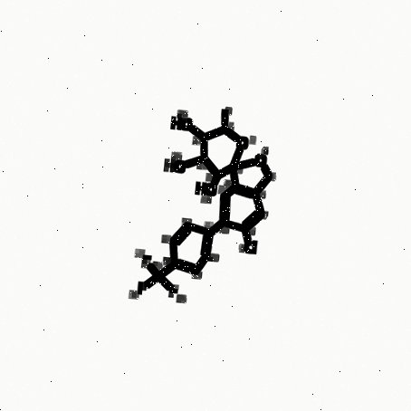 CC1OC2(OCc3cc(Cl)c(-c4ccc(C(F)(F)F)cc4)cc32)C(O)C(O)C1O